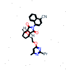 Cc1cc(OCC[C@@]23CC[C@@](C)(O2)[C@H]2C(=O)N(c4ccc(C#N)c5ccccc45)C(=O)[C@H]23)nc(C(C)C)n1